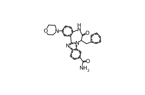 NC(=O)c1ccc2nc3n(c2c1)C(Cc1ccccc1)C(=O)Nc1ccc(N2CCOCC2)cc1-3